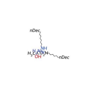 CC(O)C(=O)O.CCCCCCCCCCCCCCCCCCN=C(N)NCCCCCCCCCCCCCCCCCC